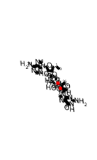 CC[C@H]1O[C@@H](n2cnc3c(N)ncnc32)[C@H](O)[C@@H]1OP(=O)(S)OC[C@@]12CO[C@@H]([C@H](n3cnc4c(=O)[nH]c(N)nc43)O1)[C@@H]2O[P@@](=O)(O)S